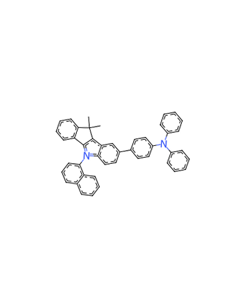 CC1(C)c2ccccc2-c2c1c1cc(-c3ccc(N(c4ccccc4)c4ccccc4)cc3)ccc1n2-c1cccc2ccccc12